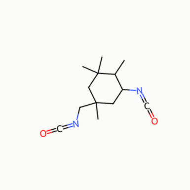 CC1C(N=C=O)CC(C)(CN=C=O)CC1(C)C